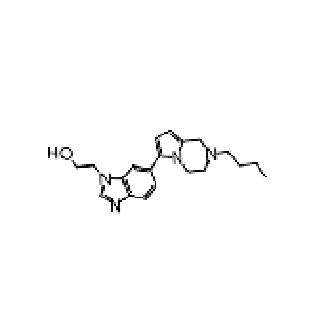 CCCCN1CCn2c(ccc2-c2ccc3ncn(CCO)c3c2)C1